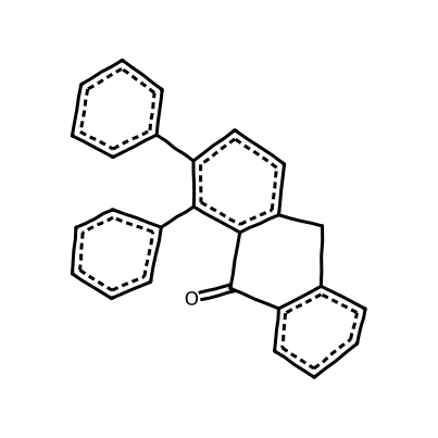 O=C1c2ccccc2Cc2ccc(-c3ccccc3)c(-c3ccccc3)c21